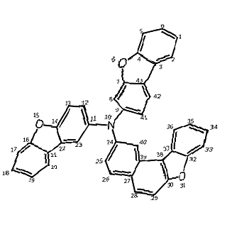 c1ccc2c(c1)oc1cc(N(c3ccc4oc5ccccc5c4c3)c3ccc4ccc5oc6ccccc6c5c4c3)ccc12